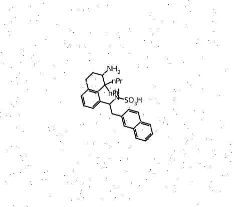 CCCC1(CCC)c2c(cccc2C(Cc2ccc3ccccc3c2)NS(=O)(=O)O)CCC1N